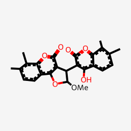 COC1Oc2c(c(=O)oc3c(C)c(C)ccc23)C1c1c(O)c2ccc(C)c(C)c2oc1=O